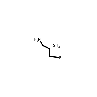 CCCCCN.[SiH4]